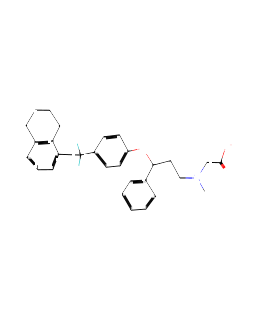 CN(CCC(Oc1ccc(C(F)(F)c2cccc3c2CCCC3)cc1)c1ccccc1)CC(=O)O